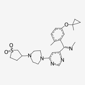 C/N=C(/c1cc(N2CCN(C3CCS(=O)(=O)C3)CC2)ncn1)c1cc(OC2(C)CC2)ccc1C